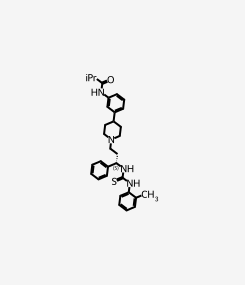 Cc1ccccc1NC(=S)N[C@@H](CCN1CCC(c2cccc(NC(=O)C(C)C)c2)CC1)c1ccccc1